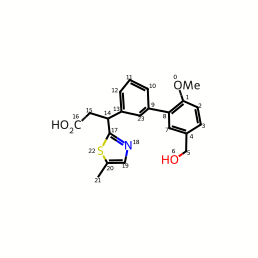 COc1ccc(CO)cc1-c1cccc(C(CC(=O)O)c2ncc(C)s2)c1